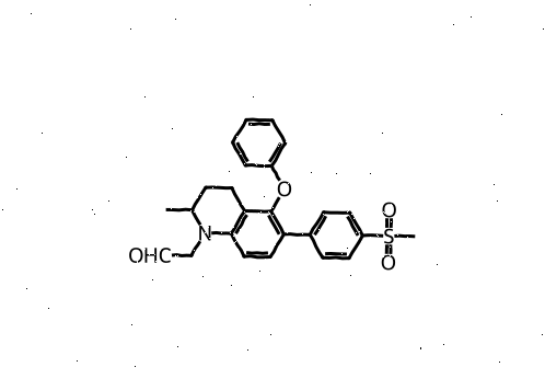 CC1CCc2c(ccc(-c3ccc(S(C)(=O)=O)cc3)c2Oc2ccccc2)N1CC=O